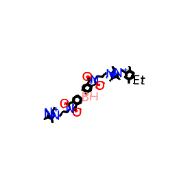 CCc1cc(C)c(C[n+]2c(C)c(C)n(CCCN3C(=O)c4ccc(Bc5ccc6c(c5)C(=O)N(CCCn5c(C)c(C)[n+](C)c5C)C6=O)cc4C3=O)c2C)cc1C